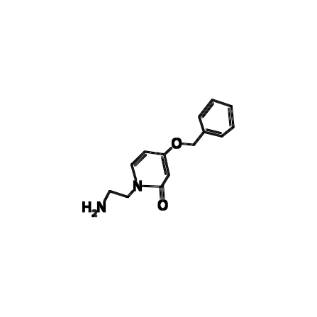 NCCn1ccc(OCc2ccccc2)cc1=O